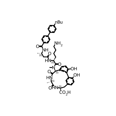 CCCCc1ccc(-c2ccc(C(=O)N[C@@H](C)CC(=O)N[C@@H](CCCCN)C(=O)N(C)[C@@H]3C(=O)N[C@@H](C)C(=O)N[C@H](C(=O)O)Cc4ccc(O)c(c4)-c4cc3ccc4O)cc2)cc1